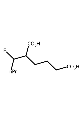 CCCC(F)C(CCCC(=O)O)C(=O)O